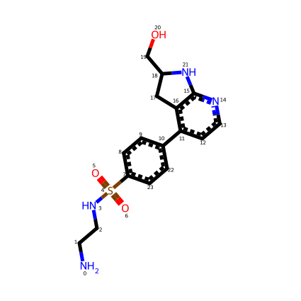 NCCNS(=O)(=O)c1ccc(-c2ccnc3c2CC(CO)N3)cc1